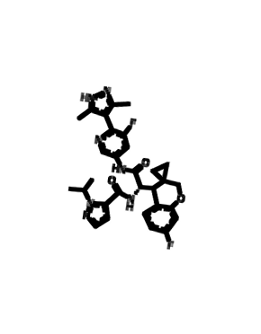 Cc1n[nH]c(C)c1-c1ncc(NC(=O)[C@@H](NC(=O)c2ccnn2C(C)C)C2c3ccc(F)cc3OCC23CC3)cc1F